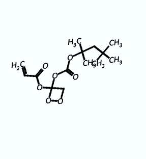 C=CC(=O)OC1(OC(=O)OC(C)(C)CC(C)(C)C)COO1